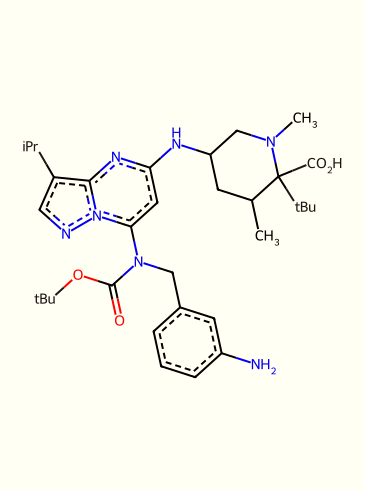 CC(C)c1cnn2c(N(Cc3cccc(N)c3)C(=O)OC(C)(C)C)cc(NC3CC(C)C(C(=O)O)(C(C)(C)C)N(C)C3)nc12